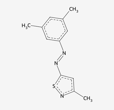 Cc1cc(C)cc(N=Nc2cc(C)ns2)c1